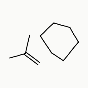 C1CCCCC1.C=C(C)C